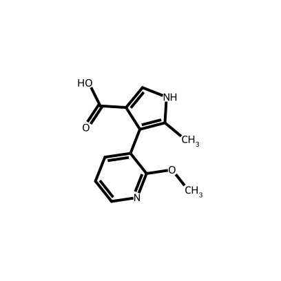 COc1ncccc1-c1c(C(=O)O)c[nH]c1C